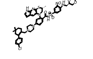 C[C@@H]1CN(c2cc(N3CCN(CC4=C(c5ccc(Cl)cc5)CC(C)(C)CC4)CC3)ccc2C(=O)NS(=O)(=O)c2ccc(NC[C@@H]3COCCO3)c([N+](=O)[O-])c2)c2cc3cc[nH]c3nc2S1